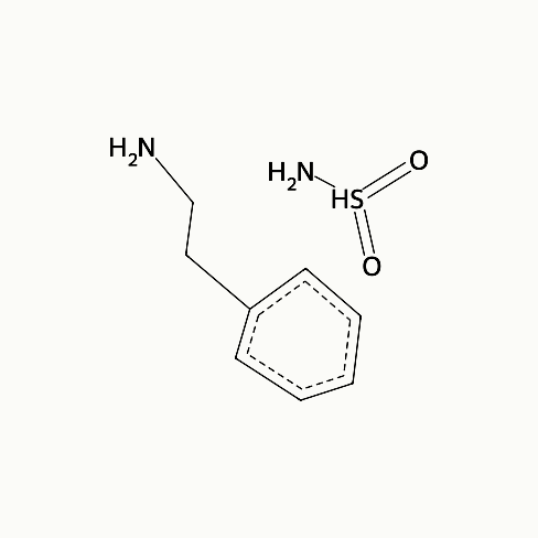 NCCc1ccccc1.N[SH](=O)=O